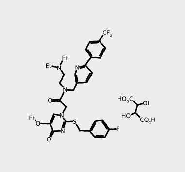 CCOc1cn(CC(=O)N(CCN(CC)CC)Cc2ccc(-c3ccc(C(F)(F)F)cc3)nc2)c(SCc2ccc(F)cc2)nc1=O.O=C(O)C(O)C(O)C(=O)O